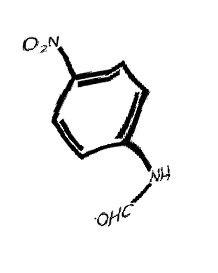 O=[C]Nc1ccc([N+](=O)[O-])cc1